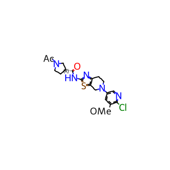 COc1cc(N2CCc3nc(NC(=O)[C@@H]4CCN(C(C)=O)C4)sc3C2)cnc1Cl